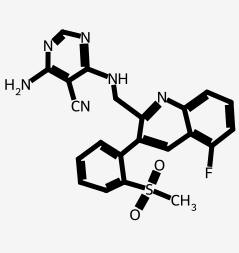 CS(=O)(=O)c1ccccc1-c1cc2c(F)cccc2nc1CNc1ncnc(N)c1C#N